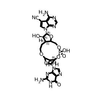 N#Cc1cn([C@@H]2OC3COP(=O)(O)O[C@@H]4[C@H](O)C(OCC[C@H]3[C@H]2O)O[C@H]4n2cnc3c(=O)[nH]c(N)nc32)c2ncnc(N)c12